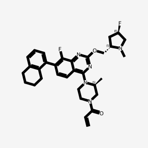 C=CC(=O)N1CCN(c2nc(OC[C@@H]3C[C@@H](F)CN3C)nc3c(F)c(-c4cccc5c4CCCC5)ccc23)[C@@H](C)C1